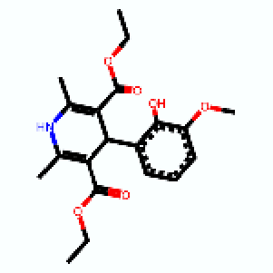 CCOC(=O)C1=C(C)NC(C)=C(C(=O)OCC)C1c1cccc(OC)c1O